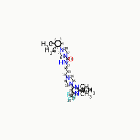 Cc1cccc(N2CCN(C(=O)NCCCCN3CCN(c4cc(C(F)(F)F)nc(C(C)(C)C)n4)CC3)CC2)c1C